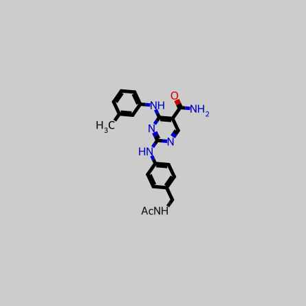 CC(=O)NCc1ccc(Nc2ncc(C(N)=O)c(Nc3cccc(C)c3)n2)cc1